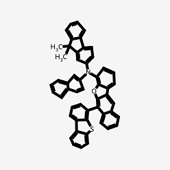 CC1(C)c2ccccc2-c2ccc(N(c3ccc4ccccc4c3)c3cccc4c3oc3c(-c5cccc6c5sc5ccccc56)c5ccccc5cc34)cc21